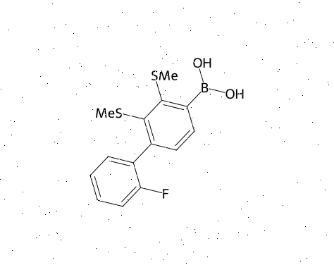 CSc1c(B(O)O)ccc(-c2ccccc2F)c1SC